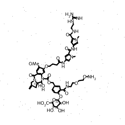 C=C1C[C@H]2C(O)N(C(=O)OCc3ccc(O[C@@H]4O[C@H](C(=O)O)[C@@H](O)[C@H](O)[C@H]4O)c(C(=O)NCCOCCON)c3)c3cc(OCCCC(=O)Nc4cc(C(=O)Nc5cc(C(=O)NCCNC(=N)N)n(C)c5)n(C)c4)c(OC)cc3C(=O)N2C1